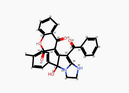 Cc1ccc(C2(O)C(=C3C(=O)Oc4ccccc4C3=O)C(C(=O)c3ccccc3)=C3NCCN32)cc1